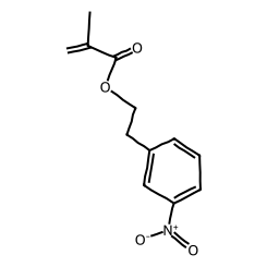 C=C(C)C(=O)OCCc1cccc([N+](=O)[O-])c1